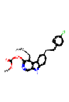 COCc1c(OC(=O)OC(C)C)ncc2[nH]c3ccc(CCc4ccc(Cl)cc4)cc3c12